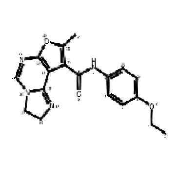 CCOc1ccc(NC(=O)c2c(C)oc3c2C2=NCCN2C=N3)cc1